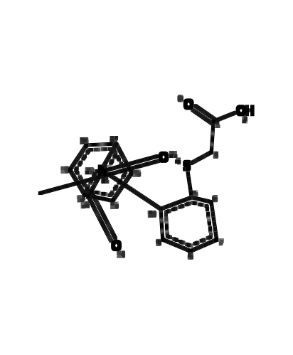 O=C(O)CSc1ccccc1-n1c(=O)c2ccc(cc2)c1=O